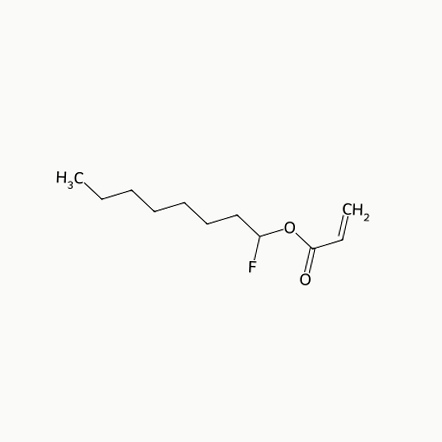 C=CC(=O)OC(F)CCCCCCC